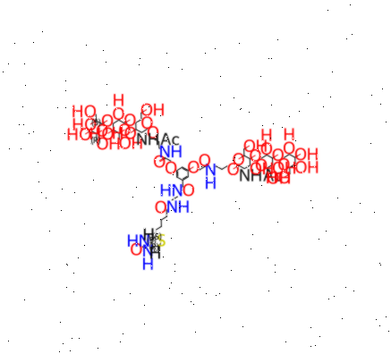 CC(=O)NC1C(OCCCNC(=O)COc2cc(OCC(=O)NCCCOC3OC(CO)C(OC4OC(CO)C(O)C(OC(OC(CO)[C@@H](C)O)[C@@H](O)CO)C4O)C(O)C3NC(C)=O)cc(C(=O)NCCNC(=O)CCCC[C@@H]3SC[C@@H]4NC(=O)N[C@@H]43)c2)OC(CO)C(OC2OC(CO)C(O)C(OC3OC(CO)C(O)C(O)C3O)C2O)C1O